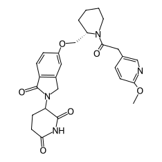 COc1ccc(CC(=O)N2CCCC[C@H]2COc2ccc3c(c2)CN(C2CCC(=O)NC2=O)C3=O)cn1